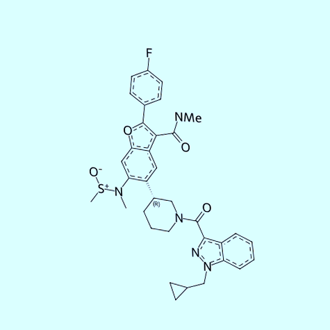 CNC(=O)c1c(-c2ccc(F)cc2)oc2cc(N(C)[S+](C)[O-])c([C@H]3CCCN(C(=O)c4nn(CC5CC5)c5ccccc45)C3)cc12